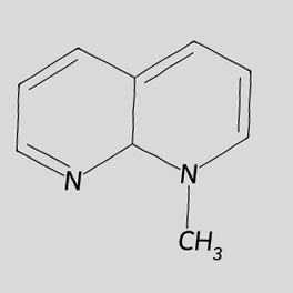 CN1C=CC=C2C=CC=NC21